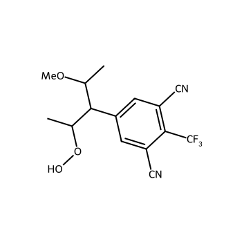 COC(C)C(c1cc(C#N)c(C(F)(F)F)c(C#N)c1)C(C)OO